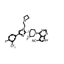 N#Cc1c[nH]c2ncnc(N3CC[C@@H](c4nc(-c5ccc(F)c(C(F)(F)F)c5)cn4CCN4CCC4)[C@@H](F)C3)c12